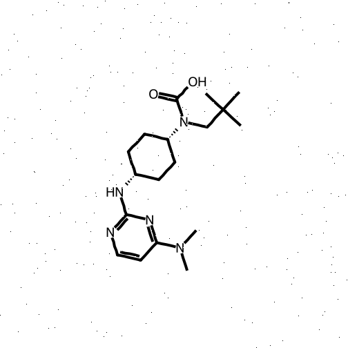 CN(C)c1ccnc(N[C@H]2CC[C@@H](N(CC(C)(C)C)C(=O)O)CC2)n1